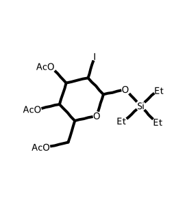 CC[Si](CC)(CC)OC1OC(COC(C)=O)C(OC(C)=O)C(OC(C)=O)C1I